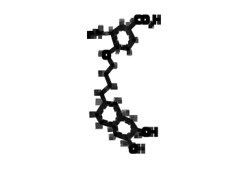 CCCc1cc(C(=O)O)ccc1OCCCCc1ccc2cc(O)c(O)cc2c1